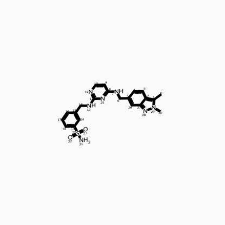 Cc1c2ccc(CNc3ccnc(NCc4cccc(S(N)(=O)=O)c4)n3)cc2nn1C